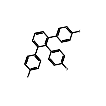 Fc1ccc(-c2[c]ccc(-c3ccc(F)cc3)c2-c2ccc(F)cc2)cc1